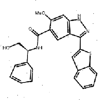 COc1cc2[nH]nc(-c3cc4ccccc4s3)c2cc1C(=O)N[C@H](CO)c1ccccc1